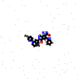 CC(=O)c1ccc(N2CCC[C@H]3CC(NC(=O)c4cc(NC5CCCCC5)c(C(N)=O)cc4C)CC32)nc1